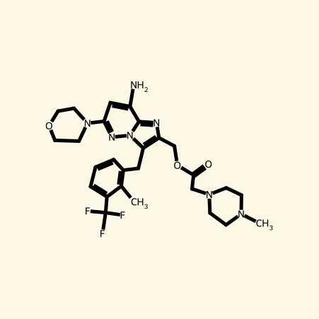 Cc1c(Cc2c(COC(=O)CN3CCN(C)CC3)nc3c(N)cc(N4CCOCC4)nn23)cccc1C(F)(F)F